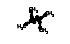 Cc1ccc(C=Cc2ccc(N(C3=C4C=CC=CC4c4cc(N(c5ccc(C=Cc6ccc(C)cc6)cc5)c5ccc(C=Cc6ccc(C)cc6)cc5)c5ccccc5c4C3)c3ccc(C=Cc4ccc(C)cc4)cc3)cc2)cc1